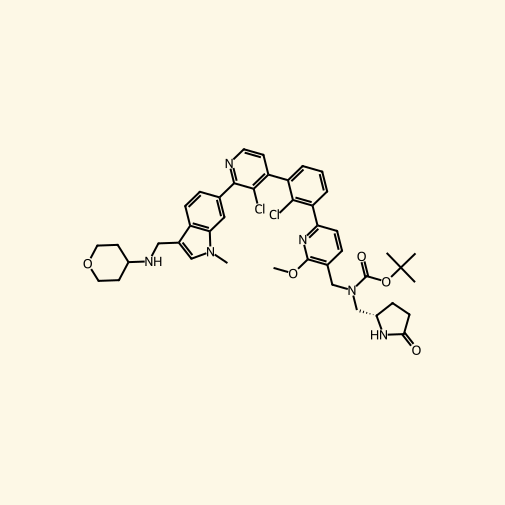 COc1nc(-c2cccc(-c3ccnc(-c4ccc5c(CNC6CCOCC6)cn(C)c5c4)c3Cl)c2Cl)ccc1CN(C[C@@H]1CCC(=O)N1)C(=O)OC(C)(C)C